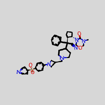 CN1COCN([C@H]2CCC[C@@H]2C(C#N)(c2ccccc2)C2CCN(CC3CN(c4ccc(S(=O)(=O)c5ccncc5)cc4)C3)CC2)C1=O